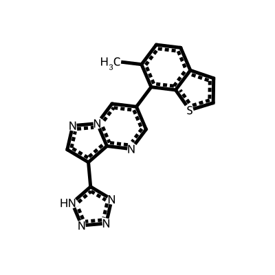 Cc1ccc2ccsc2c1-c1cnc2c(-c3nnn[nH]3)cnn2c1